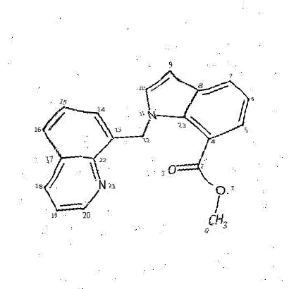 COC(=O)c1cccc2ccn(Cc3cccc4cccnc34)c12